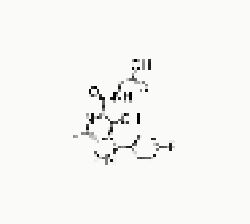 Cc1nc(C(=O)NCC(=O)O)c(O)c2c(-c3ccc(F)cc3)nsc12